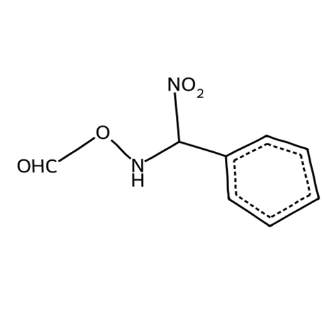 O=CONC(c1ccccc1)[N+](=O)[O-]